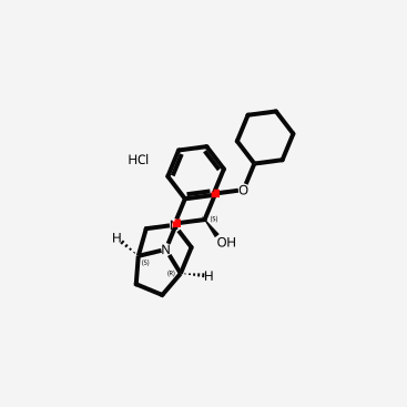 Cl.O[C@H](COC1CCCCC1)CN1[C@@H]2CC[C@H]1CN(c1ccccc1)C2